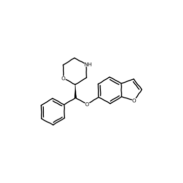 c1ccc(C(Oc2ccc3ccoc3c2)[C@@H]2CNCCO2)cc1